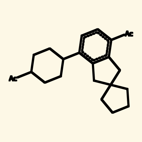 CC(=O)c1ccc(C2CCC(C(C)=O)CC2)c2c1CC1(CCCC1)C2